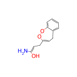 NC(O)=CCC1=CCc2ccccc2OO1